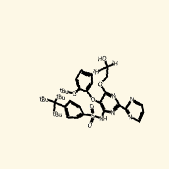 [2H]C([2H])(O)COc1nc(-c2ncccn2)nc(NS(=O)(=O)c2ccc(C(C(C)(C)C)(C(C)(C)C)C(C)(C)C)cc2)c1Oc1ccccc1OC(C)(C)C